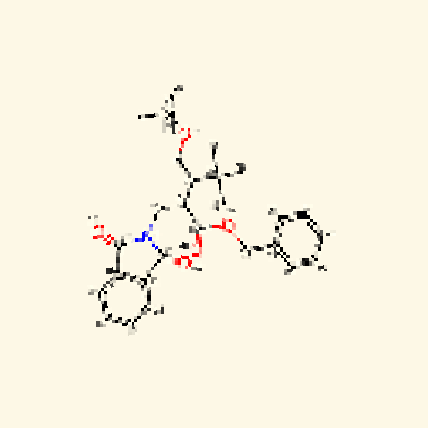 C[SiH](C)OC[C@H]([C@@H](CN1C(=O)c2ccccc2C1=O)C(=O)OCc1ccccc1)C(C)(C)C